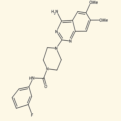 COc1cc2nc(N3CCN(C(=O)Nc4cccc(F)c4)CC3)nc(N)c2cc1OC